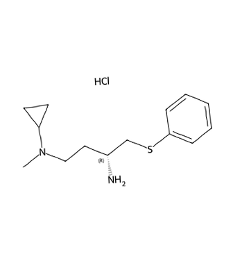 CN(CC[C@@H](N)CSc1ccccc1)C1CC1.Cl